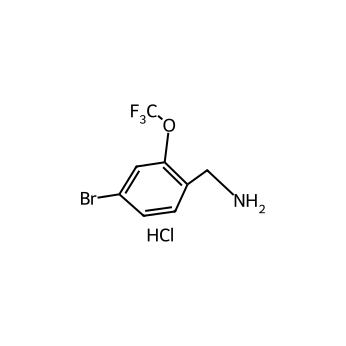 Cl.NCc1ccc(Br)cc1OC(F)(F)F